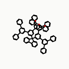 c1ccc(-c2cc(-c3ccccc3)cc(-c3cc(-c4cc(-c5ccccc5)cc(-c5ccccc5)c4)cc(C4(c5cc(-c6cc(-c7ccccc7)cc(-c7ccccc7)c6)cc(-c6cc(-c7ccccc7)cc(-c7ccccc7)c6)c5)c5ccccc5-c5ccccc54)c3)c2)cc1